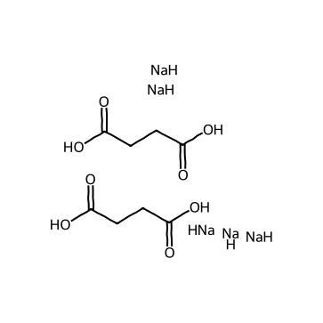 O=C(O)CCC(=O)O.O=C(O)CCC(=O)O.[NaH].[NaH].[NaH].[NaH].[NaH]